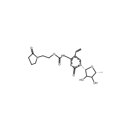 C=Cc1cn([C@@H]2O[C@H](C)C(O)C2O)c(=O)nc1NC(=O)OCCN1CCCC1=O